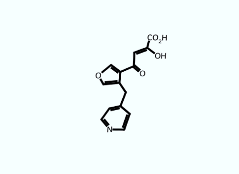 O=C(O)/C(O)=C/C(=O)c1cocc1Cc1ccncc1